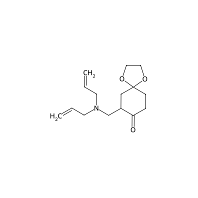 C=CCN(CC=C)CC1CC2(CCC1=O)OCCO2